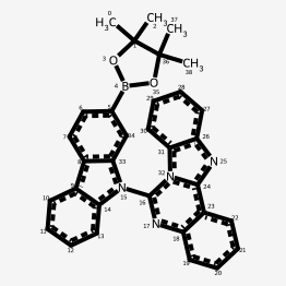 CC1(C)OB(c2ccc3c4ccccc4n(-c4nc5ccccc5c5nc6ccccc6n45)c3c2)OC1(C)C